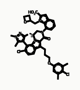 Cc1cc(OCCCc2c3n(c4c(-c5c(C)nn(C)c5C)c(Cl)ccc24)[C@H](C)CN(c2cccc4cc(C(=O)O)n(CC5CCO5)c24)C3=O)cc(C)c1Cl